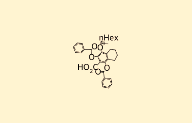 CCCCCC[C@@H](C)Oc1c2c(c(OC(=O)c3ccccc3)c(C(=O)O)c1OC(=O)c1ccccc1)CCCC2